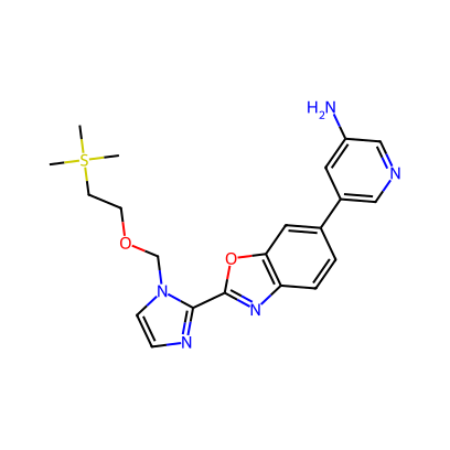 CS(C)(C)CCOCn1ccnc1-c1nc2ccc(-c3cncc(N)c3)cc2o1